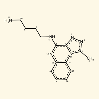 Cc1nnc2c(NCCCCN)nc3ccccc3n12